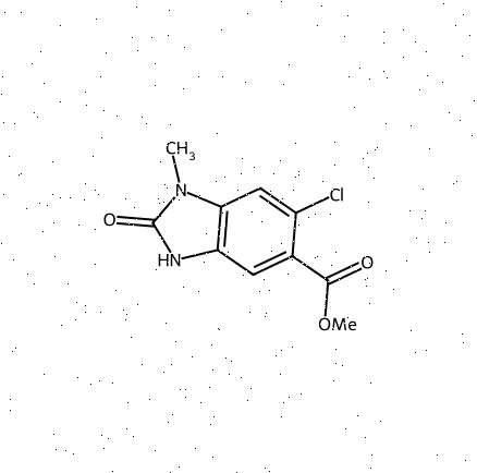 COC(=O)c1cc2[nH]c(=O)n(C)c2cc1Cl